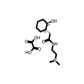 CN(C)CCNC(=O)C[C@@H]1CCCC[C@H]1O.O=C(O)C(=O)O